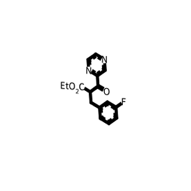 CCOC(=O)C(Cc1cccc(F)c1)C(=O)c1cnccn1